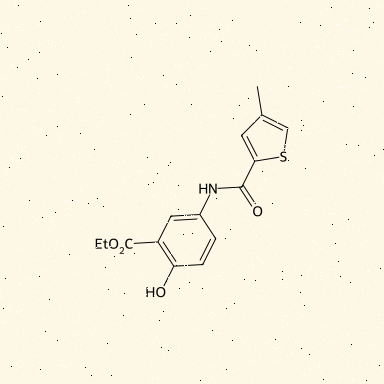 CCOC(=O)c1cc(NC(=O)c2cc(C)cs2)ccc1O